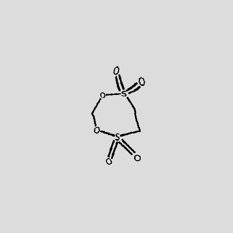 O=S1(=O)CCS(=O)(=O)OCO1